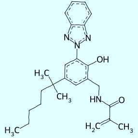 C=C(C)C(=O)NCc1cc(C(C)(C)CCCCC)cc(-n2nc3ccccc3n2)c1O